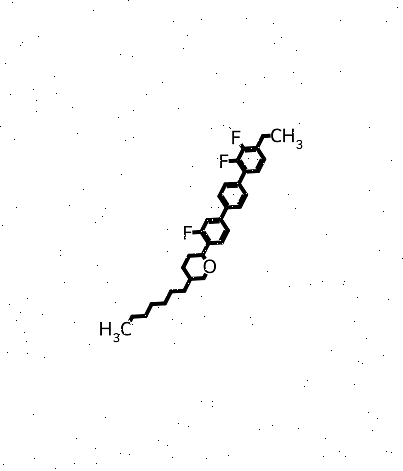 CCCCCCCC1CCC(c2ccc(-c3ccc(-c4ccc(CC)c(F)c4F)cc3)cc2F)OC1